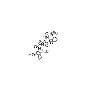 CC(C)(C)OC(=O)Nc1c(C(=O)Nc2nc(C(=O)N3CC(CCl)c4c3cc(O)c3ccccc43)cs2)oc2ccccc12